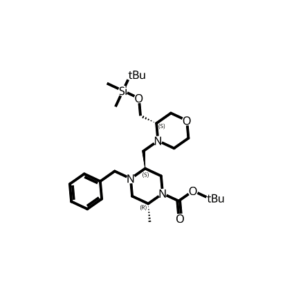 C[C@@H]1CN(Cc2ccccc2)[C@@H](CN2CCOC[C@H]2CO[Si](C)(C)C(C)(C)C)CN1C(=O)OC(C)(C)C